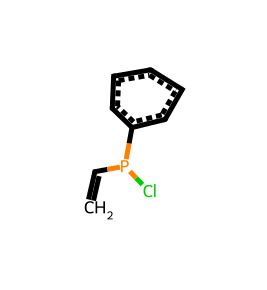 C=CP(Cl)c1ccccc1